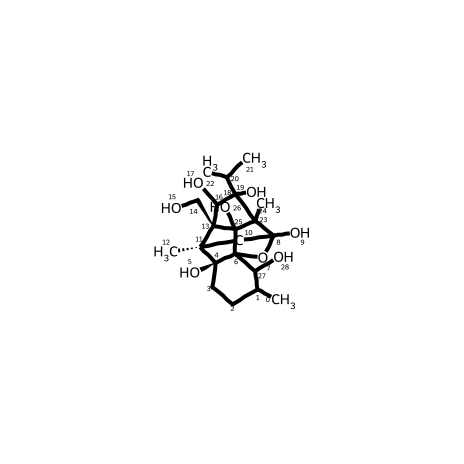 CC1CC[C@@]2(O)C3(OC4(O)C[C@]2(C)[C@]2(CO)C(O)C(O)(C(C)C)C4(C)C32O)C1O